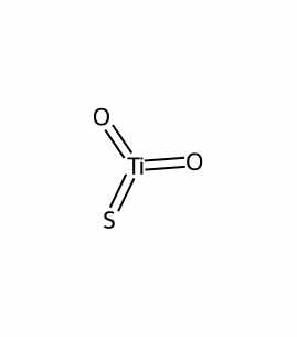 [O]=[Ti](=[O])=[S]